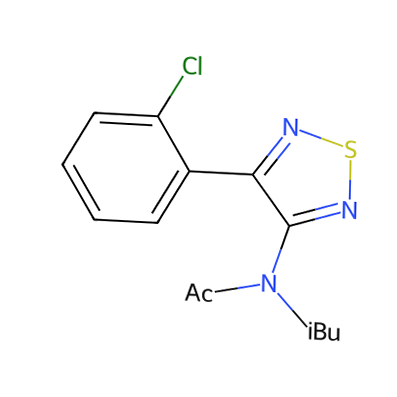 CCC(C)N(C(C)=O)c1nsnc1-c1ccccc1Cl